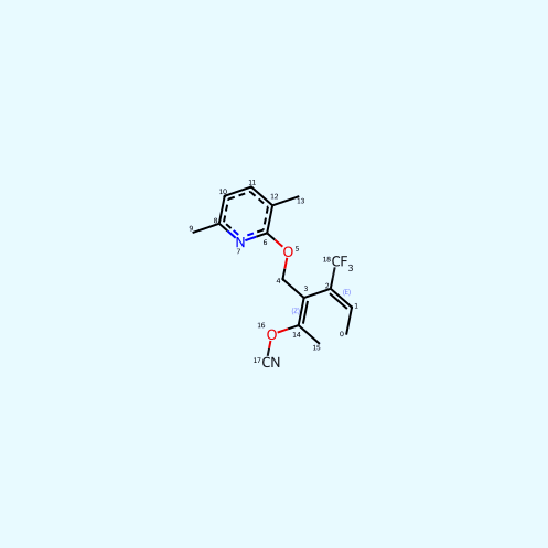 C/C=C(\C(COc1nc(C)ccc1C)=C(/C)OC#N)C(F)(F)F